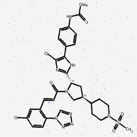 COC(=O)Nc1ccc(-c2[nH]c([C@@H]3C[C@@H](C4CCN(S(C)(=O)=O)CC4)CN3C(=O)/C=C/c3cc(Cl)ccc3-n3cnnn3)nc2Cl)cc1